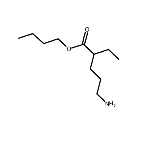 CCCCOC(=O)C(CC)CCCN